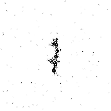 COc1cc(N=Nc2cc(OC)c(N=Nc3c(S(=O)(=O)O)cc4cc(NCc5ccc(N)cc5)ccc4c3O)cc2OC)c(OC)cc1N=Nc1ccc2cc(S(=O)(=O)O)cc(S(=O)(=O)O)c2c1